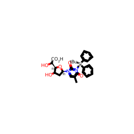 Cc1cn([C@H]2CC(O)[C@@H](C(O)C(=O)O)O2)c(=O)n([Si](c2ccccc2)(c2ccccc2)C(C)(C)C)c1=O